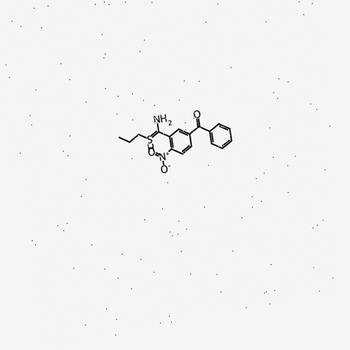 CCC[SH]=C(N)c1cc(C(=O)c2ccccc2)ccc1[N+](=O)[O-]